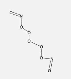 O=NOOOOON=O